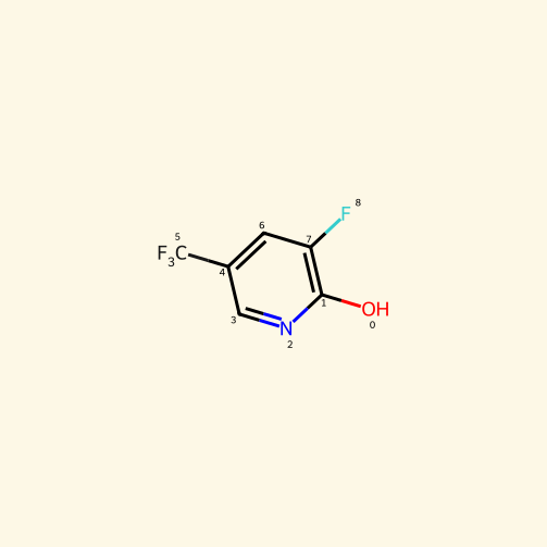 Oc1ncc(C(F)(F)F)cc1F